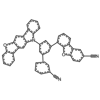 N#Cc1cccc(-c2cc(-c3cccc4c3oc3ccc(C#N)cc34)cc(-n3c4ccccc4c4cc5oc6ccccc6c5cc43)c2)c1